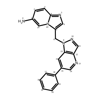 Nc1ccc2ncc(Cn3ncc4ncc(-c5ccccc5)cc43)n2c1